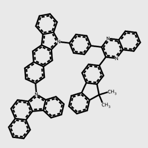 CC1(C)c2ccccc2-c2ccc(-c3nc4ccccc4nc3-c3ccc(-n4c5ccccc5c5cc6ccc(-n7c8ccccc8c8c9ccccc9ccc87)cc6cc54)cc3)cc21